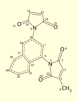 CC1=CC(=O)N(c2cc(N3C(=O)C=CC3=O)cc3ccccc23)C1=O